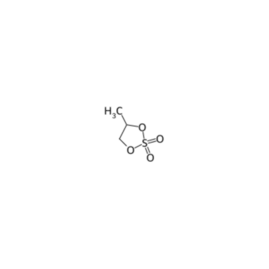 CC1COS(=O)(=O)O1